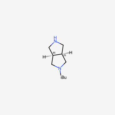 CCC(C)N1C[C@H]2CNC[C@H]2C1